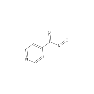 O=NC(=O)c1ccncc1